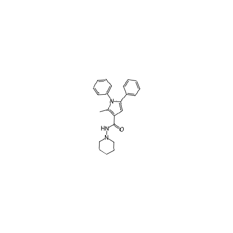 Cc1c(C(=O)NN2CCCCC2)cc(-c2ccccc2)n1-c1ccccc1